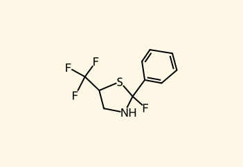 FC1(c2ccccc2)NCC(C(F)(F)F)S1